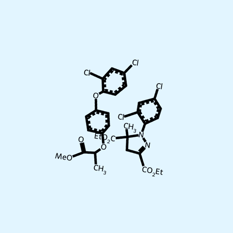 CCOC(=O)C1=NN(c2ccc(Cl)cc2Cl)C(C)(C(=O)OCC)C1.COC(=O)C(C)Oc1ccc(Oc2ccc(Cl)cc2Cl)cc1